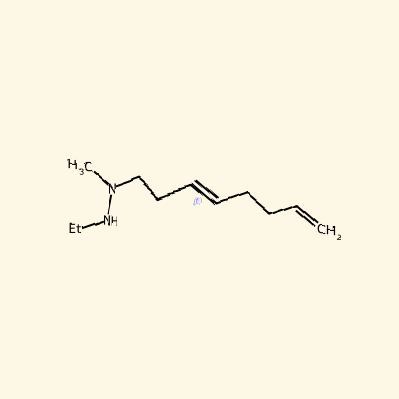 C=CCC/C=C/CCN(C)NCC